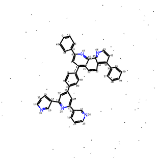 c1ccc(-c2cc(-c3ccc(-c4cc(-c5cccnc5)nc(-c5cccnc5)c4)cc3)c3ccc4c(-c5ccccc5)ccnc4c3n2)cc1